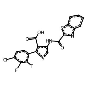 O=C(Nc1csc(-c2ccc(Cl)c(F)c2F)c1C(=O)O)c1nc2ccccc2s1